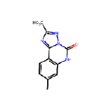 Cc1ccc2c(c1)[nH]c(=O)n1nc(C(=O)O)nc21